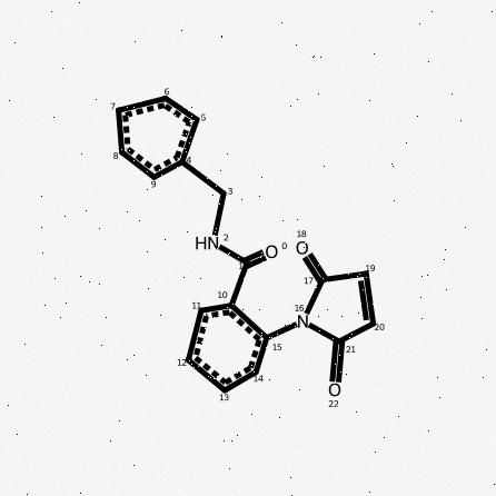 O=C(NCc1ccccc1)c1ccccc1N1C(=O)C=CC1=O